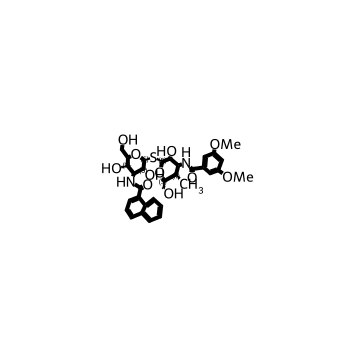 COc1cc(OC)cc(C(=O)NC2C(O)[C@H](S[C@@H]3OC(CO)[C@H](O)C(NC(=O)c4cccc5ccccc45)[C@@H]3O)O[C@H](CO)[C@@H]2C)c1